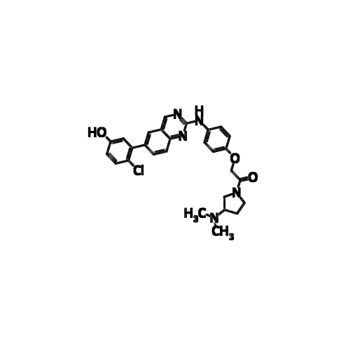 CN(C)C1CCN(C(=O)COc2ccc(Nc3ncc4cc(-c5cc(O)ccc5Cl)ccc4n3)cc2)C1